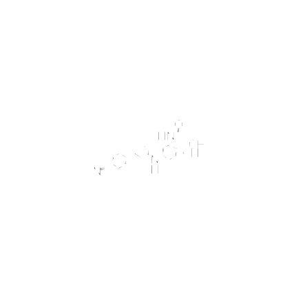 CC1(C)CC(=O)Nc2cc(NC(=O)C=Cc3ccc(C#N)cc3)ccc21